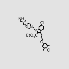 CCOC(=O)c1c(CCCOc2cc(C)c(Cl)c(C)c2)c2ccc(Cl)cc2n1CCN1CCN(CCCN)CC1